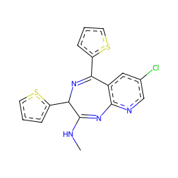 CNC1=Nc2ncc(Cl)cc2C(c2cccs2)=NC1c1cccs1